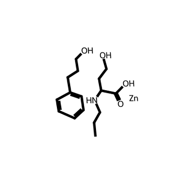 CCCNC(CCO)C(=O)O.OCCCc1ccccc1.[Zn]